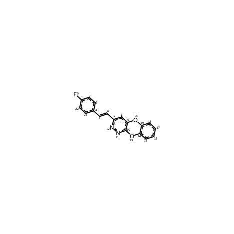 Fc1ccc(/C=C/c2cc3c(nn2)Oc2ccccc2O3)cc1